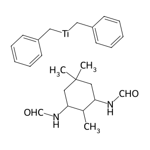 CC1C(NC=O)CC(C)(C)CC1NC=O.c1ccc([CH2][Ti][CH2]c2ccccc2)cc1